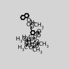 CCN(COc1cccc2ccccc12)C(=O)OCc1ccc(OC[C@@H](OC(C)=O)C(OC(C)=O)C(OC(C)=O)C(OC)C(=O)OC)c([N+](=O)[O-])c1